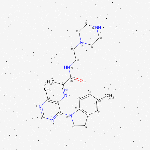 C/C(=N\c1c(C)ncnc1N1CCc2cc(C)ccc21)C(=O)NCCN1CCNCC1